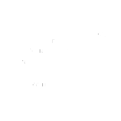 Cn1nnc(Cc2ccc(C(F)(F)F)cc2F)c1C(=O)O